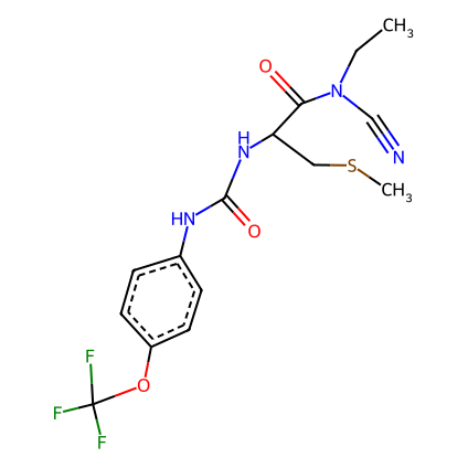 CCN(C#N)C(=O)C(CSC)NC(=O)Nc1ccc(OC(F)(F)F)cc1